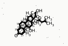 CC(C)CC(=O)O[C@@]1(C(=O)CO)C(C)C[C@H]2[C@@H]3CCC4=CC(=O)C=C[C@]4(C)[C@@]3(F)[C@@H](O)C[C@@]21C